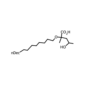 CCCCCCCCCCCCCCCCCCOC(C)(CC(C)O)C(=O)O